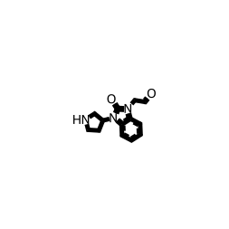 O=CCn1c(=O)n(C2CCNC2)c2ccccc21